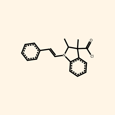 CC1N(C=Cc2ccccc2)c2ccccc2C1(C)C(=O)Cl